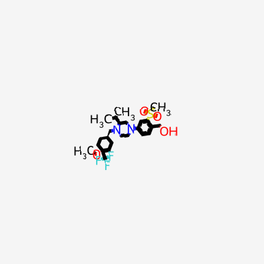 CO[C@]1(C(F)(F)F)CC[C@@H](CN2CCN(c3ccc(CO)c(S(C)(=O)=O)c3)CC2C(C)C)CC1